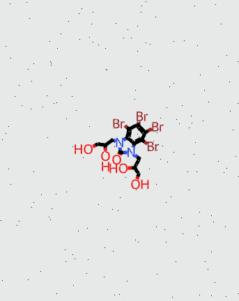 O=c1n(CC(O)CO)c2c(Br)c(Br)c(Br)c(Br)c2n1CC(O)CO